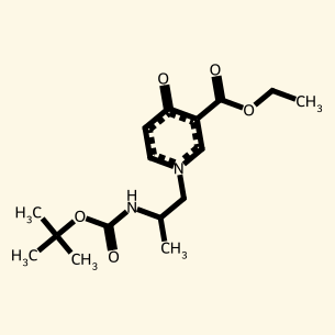 CCOC(=O)c1cn(CC(C)NC(=O)OC(C)(C)C)ccc1=O